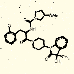 CNC1CCN(C(=O)NC(Cc2ccccc2Cl)C(=O)N2CCC(N3C(=O)C(C)(C)c4ccccc43)CC2)C1